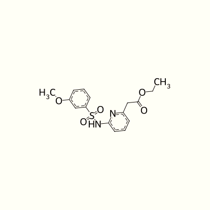 CCOC(=O)Cc1cccc(NS(=O)(=O)c2cccc(OC)c2)n1